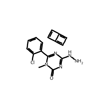 Cn1c(-c2ccccc2Cl)nc(NN)nc1=O.c1cc2ccc1-2